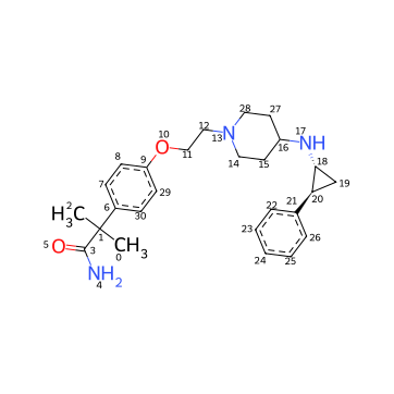 CC(C)(C(N)=O)c1ccc(OCCN2CCC(N[C@@H]3C[C@H]3c3ccccc3)CC2)cc1